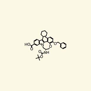 Cc1ccc(OCc2ccccc2)c2c1-c1c(C3CCCCC3)c3ccc(C(=O)O)cc3n1C[C@@H](NC(=O)OC(C)(C)C)CO2